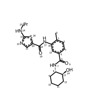 Cc1ccc(C(=O)N[C@H]2CCCC[C@@H]2O)cc1NC(=O)c1cnc(NC(C)C)s1